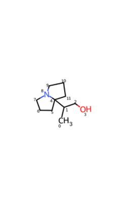 CC(CO)C12CCCN1CCC2